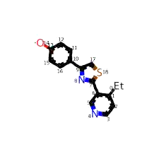 CCc1ccncc1-c1nc(-c2ccc([O])cc2)cs1